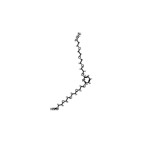 [N-]=[N+]=NCCOCCOCCOCCOc1cccc(OCCOCCOCCOCCN=N)n1